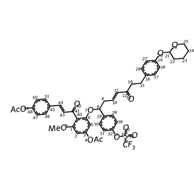 COc1cc(OC(C)=O)cc(OC(CC=CC(=O)CCc2ccc(OC3CCCCO3)cc2)c2ccc(OS(=O)(=O)C(F)(F)F)cc2)c1C(=O)C=Cc1ccc(OC(C)=O)cc1